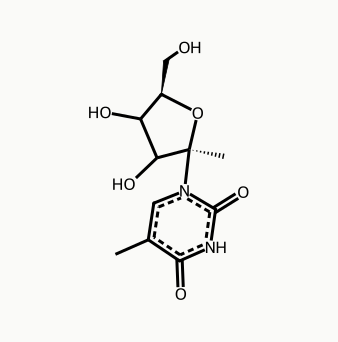 Cc1cn([C@]2(C)O[C@H](CO)C(O)C2O)c(=O)[nH]c1=O